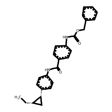 CC[C@H]1C[C@H]1c1ccc(NC(=O)c2ccc(NC(=O)OCc3ccccc3)cc2)cc1